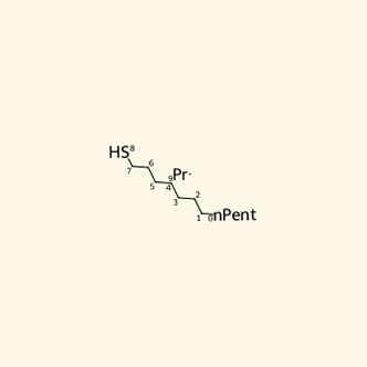 CCCCCCCCCCCCS.[Pr]